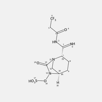 N=C(NC(=O)CC(F)(F)F)[C@@H]1CC[C@@H]2CN1C(=O)N2OS(=O)(=O)O